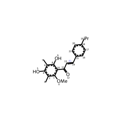 COc1c(C)c(O)c(C)c(O)c1C(=O)/C=C/c1ccc(C(C)C)cc1